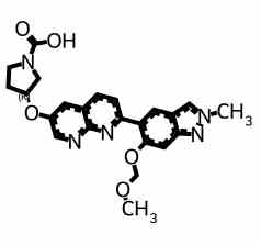 COCOc1cc2nn(C)cc2cc1-c1ccc2cc(O[C@@H]3CCN(C(=O)O)C3)cnc2n1